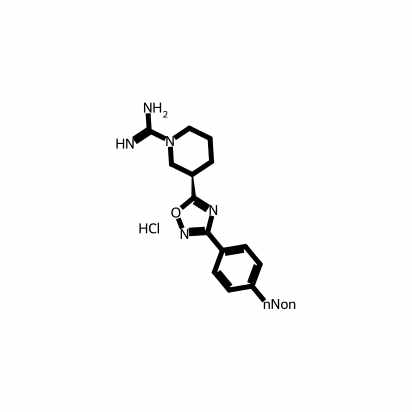 CCCCCCCCCc1ccc(-c2noc([C@@H]3CCCN(C(=N)N)C3)n2)cc1.Cl